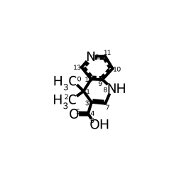 CC1(C)C(C(=O)O)=CNc2ccncc21